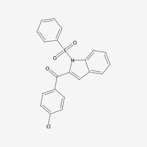 O=C(c1ccc(Cl)cc1)c1cc2ccccc2n1S(=O)(=O)c1ccccc1